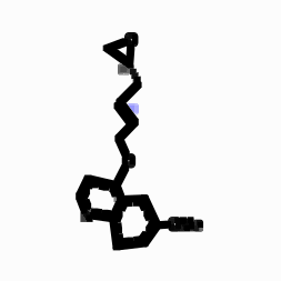 COc1ccc2nccc(OC/C=C/C[C@@H]3CO3)c2c1